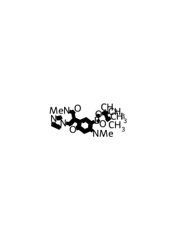 CNC(=O)c1c(-n2ccnc2)oc2cc(NC)c(B3OC(C)(C)C(C)(C)O3)cc12